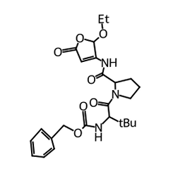 CCOC1OC(=O)C=C1NC(=O)C1CCCN1C(=O)C(NC(=O)OCc1ccccc1)C(C)(C)C